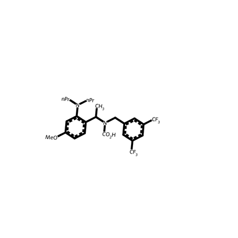 CCCN(CCC)c1cc(OC)ccc1C(C)N(Cc1cc(C(F)(F)F)cc(C(F)(F)F)c1)C(=O)O